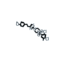 COc1ccc(CCc2csc(N3CCN(S(=O)(=O)c4cc(C)c(Cl)cc4Cl)CC3)n2)cc1